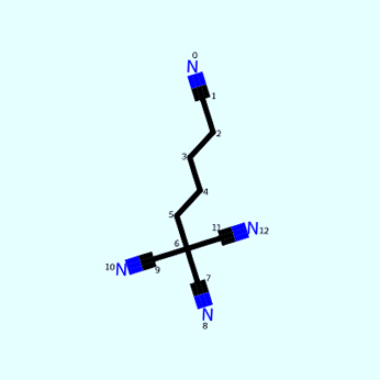 N#CCCCCC(C#N)(C#N)C#N